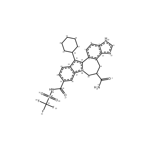 NC(=O)C1Cc2c(ccc3[nH]cnc23)-c2c(C3CCCCC3)c3ccc(C(=O)NS(=O)(=O)C(F)(F)F)cc3n2C1